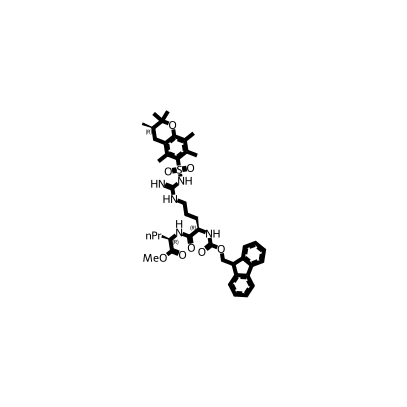 CCC[C@@H](NC(=O)[C@@H](CCCNC(=N)NS(=O)(=O)c1c(C)c(C)c2c(c1C)C[C@@H](C)C(C)(C)O2)NC(=O)OCC1c2ccccc2-c2ccccc21)C(=O)OC